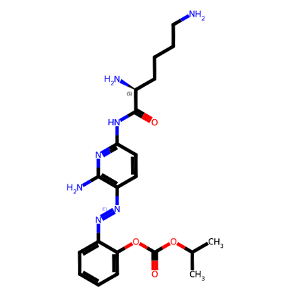 CC(C)OC(=O)Oc1ccccc1/N=N/c1ccc(NC(=O)[C@@H](N)CCCCN)nc1N